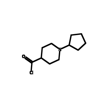 O=C(Cl)C1CCN(C2CCCC2)CC1